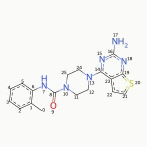 Cc1ccccc1NC(=O)N1CCN(c2nc(N)nc3sccc23)CC1